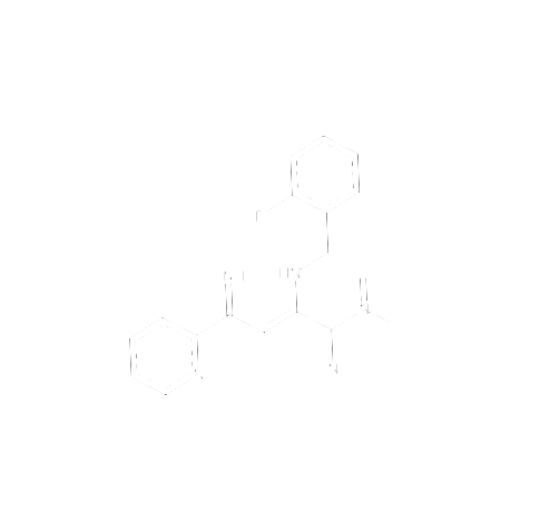 N=C(/C=C(\NCc1ccccc1F)C(N)[N+](=O)[O-])c1ccccn1